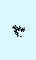 [C-]#[N+]c1ccc(Oc2cc(C(=O)Nc3cnn(C)n3)cc3c2CC(C)(C)O3)cc1F